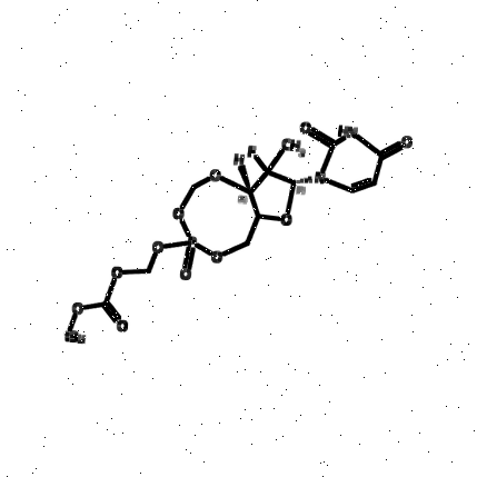 CC(C)(C)OC(=O)OCOP1(=O)OCO[C@H]2C(CO1)O[C@@H](n1ccc(=O)[nH]c1=O)C2(C)F